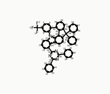 FC(F)(F)c1ccc2c(c1)-n1c3cccc(-c4nc(-c5ccccc5)nc(-c5ccccc5)n4)c3c3ccc4c(c31)-c1c-2cccc1C4(c1ccccc1)c1ccccc1